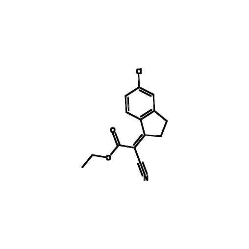 CCOC(=O)C(C#N)=C1CCc2cc(Cl)ccc21